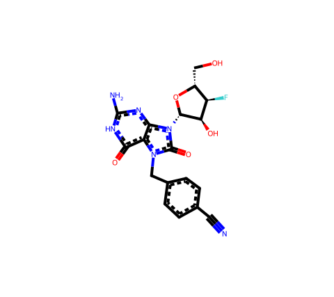 N#Cc1ccc(Cn2c(=O)n([C@@H]3O[C@H](CO)[C@@H](F)[C@H]3O)c3nc(N)[nH]c(=O)c32)cc1